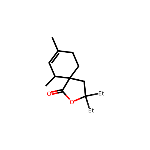 CCC1(CC)CC2(CCC(C)=CC2C)C(=O)O1